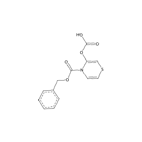 O=C(O)OC1=CSC=CN1C(=O)OCc1ccccc1